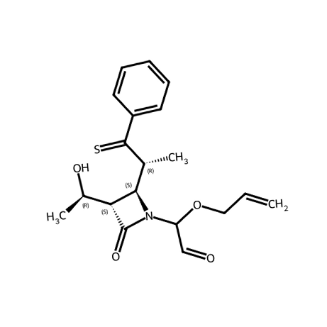 C=CCOC(C=O)N1C(=O)[C@H]([C@@H](C)O)[C@H]1[C@@H](C)C(=S)c1ccccc1